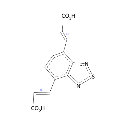 O=C(O)/C=C/c1ccc(/C=C/C(=O)O)c2nsnc12